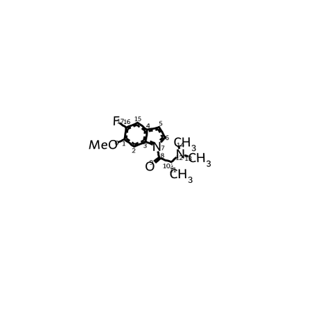 COc1cc2c(ccn2C(=O)[C@@H](C)N(C)C)cc1F